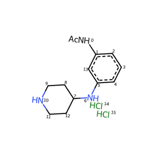 CC(=O)Nc1cccc(NC2CCNCC2)c1.Cl.Cl